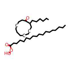 CCCCCCC1CCCCCCCCCCC1=O.CCCCCCCCCCCCCCCCCC(=O)OO